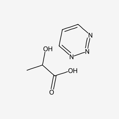 CC(O)C(=O)O.c1cnnnc1